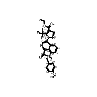 CCOC(=O)c1cnn(-c2cnc3c4c(cccc24)[N+](C)(Cc2ccc(OC)cc2)C3=O)c1C(F)(F)F